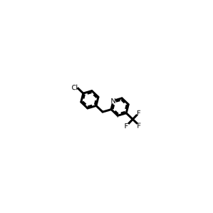 FC(F)(F)c1[c]c(Cc2ccc(Cl)cc2)ncc1